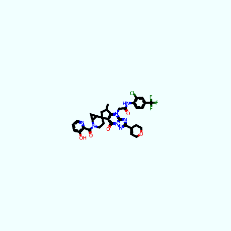 CC1CC2(CCN(C(=O)c3ncccc3O)C3CC32)c2c1n(CC(=O)Nc1ccc(C(F)(F)F)cc1Cl)c1nc(C3=CCOCC3)nn1c2=O